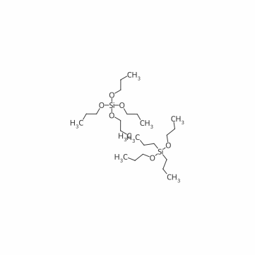 CCCO[Si](CCC)(CCC)OCCC.CCCO[Si](OCCC)(OCCC)OCCC